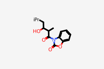 CC(C)CC(O)C(C)C(=O)n1c(=O)oc2ccccc21